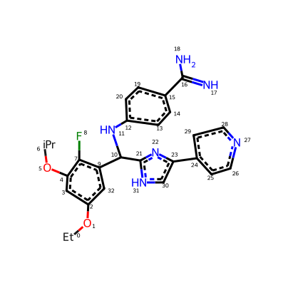 CCOc1cc(OC(C)C)c(F)c(C(Nc2ccc(C(=N)N)cc2)c2nc(-c3ccncc3)c[nH]2)c1